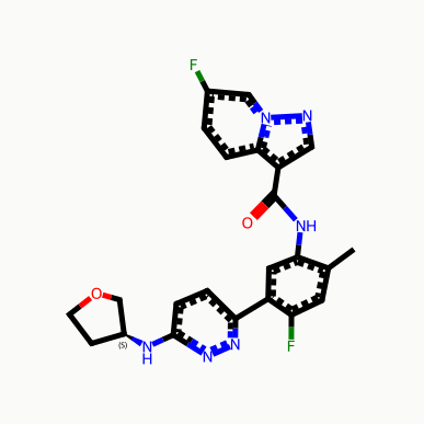 Cc1cc(F)c(-c2ccc(N[C@H]3CCOC3)nn2)cc1NC(=O)c1cnn2cc(F)ccc12